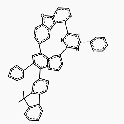 CC1(C)c2ccccc2-c2ccc(-c3ccc(-c4ccc5oc6cccc(-c7nc(-c8ccccc8)nc(-c8ccccc8)n7)c6c5c4)cc3-c3ccccc3)cc21